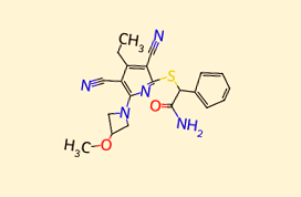 CCc1c(C#N)c(SC(C(N)=O)c2ccccc2)nc(N2CC(OC)C2)c1C#N